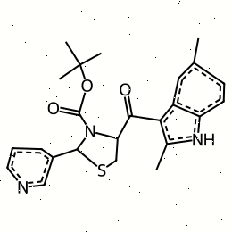 Cc1ccc2[nH]c(C)c(C(=O)C3CSC(c4cccnc4)N3C(=O)OC(C)(C)C)c2c1